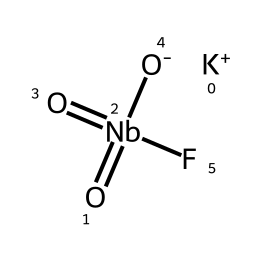 [K+].[O]=[Nb](=[O])([O-])[F]